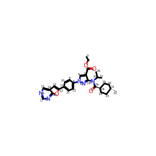 CCOC(=O)c1cn(-c2ccc(-c3cc4cncnc4o3)cc2)nc1N(C(=O)[C@H]1CC[C@H](C)CC1)C(C)C